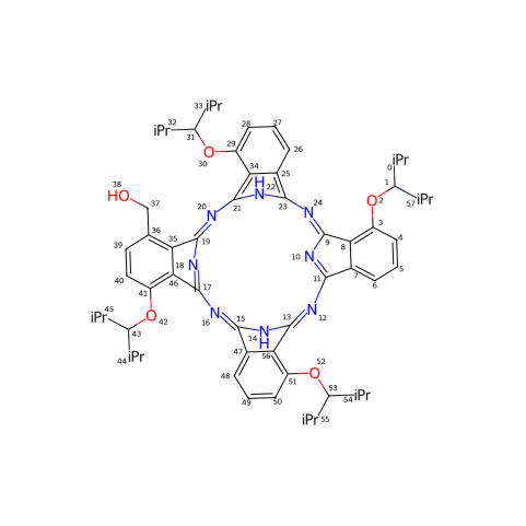 CC(C)C(Oc1cccc2c1-c1nc-2nc2[nH]c(nc3nc(nc4[nH]c(n1)c1cccc(OC(C(C)C)C(C)C)c41)-c1c(CO)ccc(OC(C(C)C)C(C)C)c1-3)c1cccc(OC(C(C)C)C(C)C)c21)C(C)C